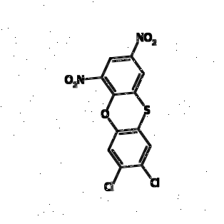 O=[N+]([O-])c1cc2c(c([N+](=O)[O-])c1)Oc1cc(Cl)c(Cl)cc1S2